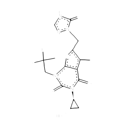 Cc1c(Cn2nc[nH]c2=O)sc2c1c(=O)n([C@H]1C[C@@H]1C)c(=O)n2CC(F)(F)F